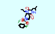 CCCN1C(=O)C(CC(C)C)NC(=O)C12CCN(S(=O)(=O)c1c(F)cccc1F)CC2